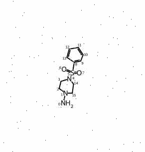 NN1CCN(S(=O)(=O)c2ccccc2)CC1